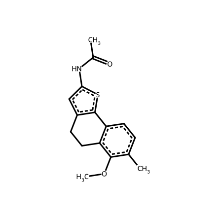 COc1c(C)ccc2c1CCc1cc(NC(C)=O)sc1-2